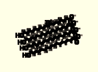 O=C([O-])CCCCCCCCCCCCCCCCCO.O=C([O-])CCCCCCCCCCCCCCCCCO.O=C([O-])CCCCCCCCCCCCCCCCCO.O=C([O-])CCCCCCCCCCCCCCCCCO.[Ti+4]